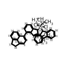 CC(C)C1=Cc2c(-c3ccc4c5c(cccc35)CC4)cccc2[CH]1[Zr]([Cl])([Cl])([CH]1c2ccccc2-c2ccccc21)[SiH](C)C